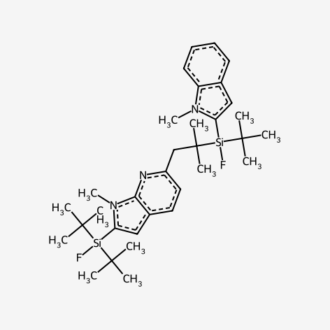 Cn1c([Si](F)(C(C)(C)C)C(C)(C)Cc2ccc3cc([Si](F)(C(C)(C)C)C(C)(C)C)n(C)c3n2)cc2ccccc21